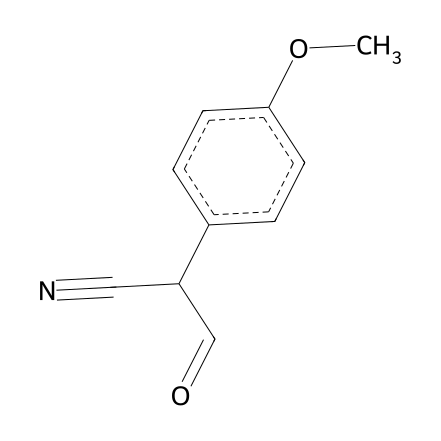 COc1ccc(C(C#N)C=O)cc1